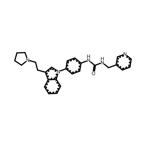 O=C(NCc1cccnc1)Nc1ccc(-n2cc(CCN3CCCC3)c3ccccc32)cc1